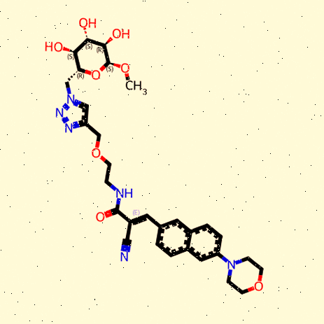 CO[C@H]1O[C@H](Cn2cc(COCCNC(=O)/C(C#N)=C/c3ccc4cc(N5CCOCC5)ccc4c3)nn2)[C@@H](O)[C@H](O)[C@H]1O